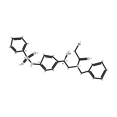 O=C(CBr)N(Cc1ccccc1)C[C@H](O)c1ccc(OS(=O)(=O)c2ccccc2)cc1